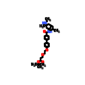 CCNC1(C)CC2CC(C)CC(NC(=O)c3ccc(-c4ccc(OCCOCCC(=O)OC(C)(C)C)cc4)cc3)(C2)C1